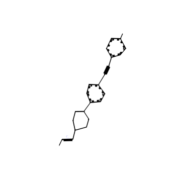 C/C=C/C1CCC(c2ccc(C#Cc3ccc(C)cc3)cc2)CC1